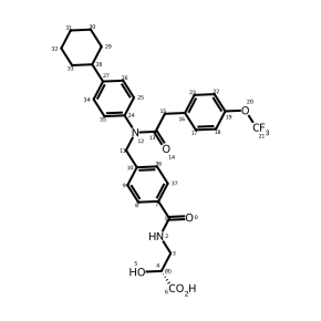 O=C(NC[C@@H](O)C(=O)O)c1ccc(CN(C(=O)Cc2ccc(OC(F)(F)F)cc2)c2ccc(C3CCCCC3)cc2)cc1